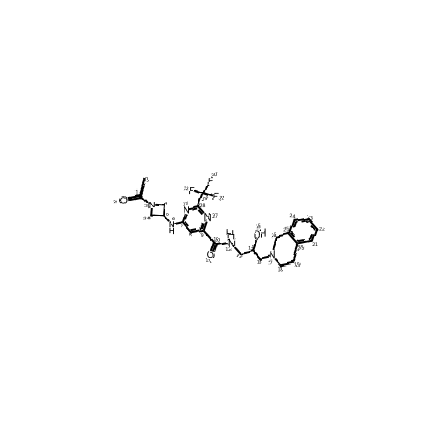 CC(=O)N1CC(Nc2cc(C(=O)NCC(O)CN3CCc4ccccc4C3)nc(C(F)(F)F)n2)C1